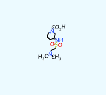 CN(C)CCS(=O)(=O)N[C@H]1CCCN(C(=O)O)C1